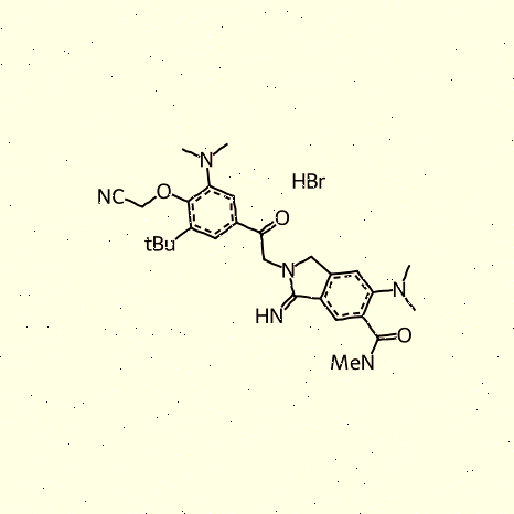 Br.CNC(=O)c1cc2c(cc1N(C)C)CN(CC(=O)c1cc(N(C)C)c(OCC#N)c(C(C)(C)C)c1)C2=N